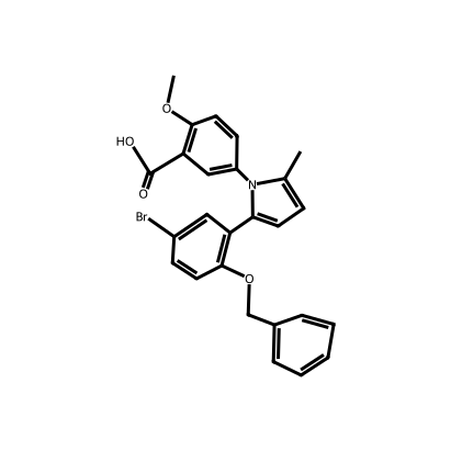 COc1ccc(-n2c(C)ccc2-c2cc(Br)ccc2OCc2ccccc2)cc1C(=O)O